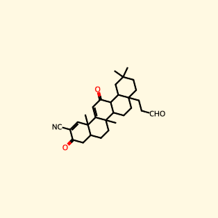 CC1(C)CCC2(CCC=O)CCC3C(C(=O)C=C4C5(C)C=C(C#N)C(=O)CC5CCC43C)C2C1